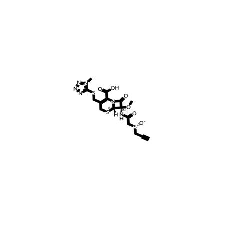 C#CC[S+]([O-])CC(=O)N[C@]1(OC)C(=O)N2C(C(=O)O)=C(CSc3nnnn3C)CS[C@H]21